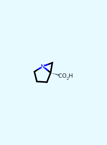 O=C(O)[C@]12CCCN1C2